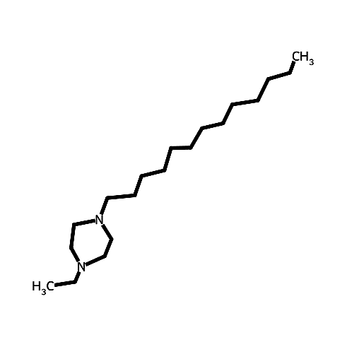 CCCCCCCCCCCCCN1CCN(CC)CC1